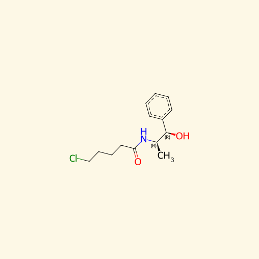 C[C@@H](NC(=O)CCCCCl)[C@H](O)c1ccccc1